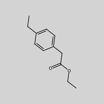 CCOC(=O)Cc1c[c]c(CC)cc1